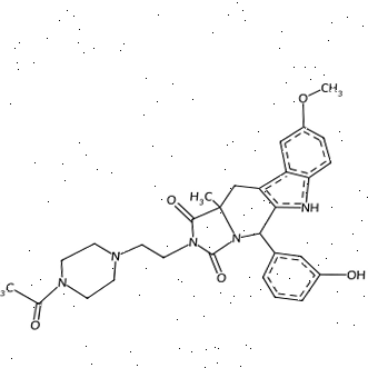 COc1ccc2[nH]c3c(c2c1)CC1(C)C(=O)N(CCN2CCN(C(C)=O)CC2)C(=O)N1C3c1cccc(O)c1